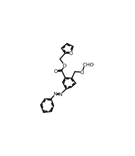 O=[C]OCc1ccc(N=Nc2ccccc2)cc1C(=O)OCc1ccco1